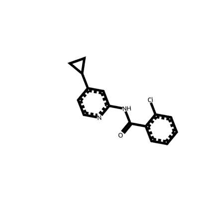 O=C(Nc1cc(C2CC2)ccn1)c1ccccc1Cl